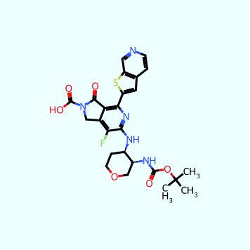 CC(C)(C)OC(=O)N[C@H]1COCC[C@H]1Nc1nc(-c2cc3ccncc3s2)c2c(c1F)CN(C(=O)O)C2=O